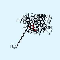 CCCCCCCCCCCCSCCC(CC(CCCC(c1cc(C(C)(C)C)c(O)cc1C)c1cc(C(C)(C)C)c(O)cc1C)(c1cc(C(C)(C)C)c(O)cc1C)c1cc(C(C)(C)C)c(O)cc1C)(c1cc(C(C)(C)C)c(O)cc1C)c1cc(C(C)(C)C)c(O)cc1C